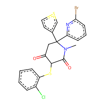 CN1C(=O)C(Sc2ccccc2Cl)C(=O)CC1(c1ccsc1)c1cccc(Br)n1